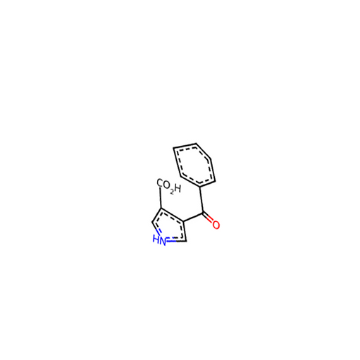 O=C(O)c1c[nH]cc1C(=O)c1ccccc1